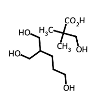 CC(C)(CO)C(=O)O.OCCCC(CO)CO